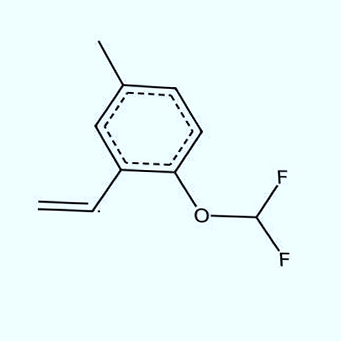 C=[C]c1cc(C)ccc1OC(F)F